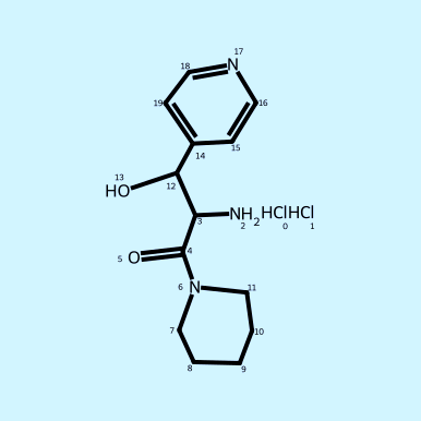 Cl.Cl.NC(C(=O)N1CCCCC1)C(O)c1ccncc1